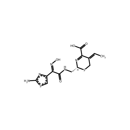 CC=C1CS[C@H](CNC(=O)C(=NO)c2csc(N)n2)N=C1C(=O)O